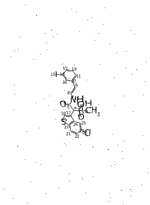 CP(=O)(O)C(C(=O)N/C=C/c1cccc(I)c1)c1csc2ccc(Cl)cc12